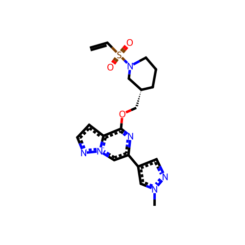 C=CS(=O)(=O)N1CCC[C@H](COc2nc(-c3cnn(C)c3)cn3nccc23)C1